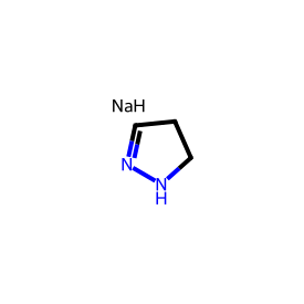 C1=NNCC1.[NaH]